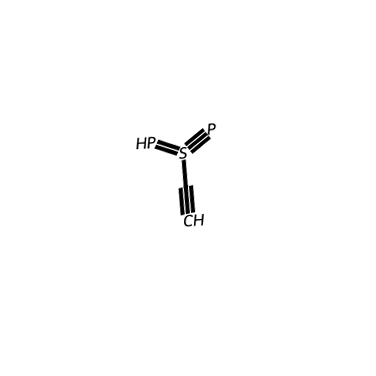 C#CS(#P)=P